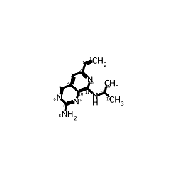 C=Cc1cc2cnc(N)nc2c(NC(C)C)n1